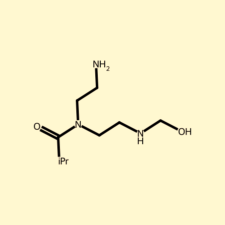 CC(C)C(=O)N(CCN)CCNCO